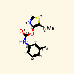 CNc1scnc1OC(=O)Nc1cccc(C)c1